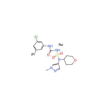 CC(C)c1cc(Cl)cc(NC(=O)NS(=O)(=O)N(c2cnn(C)c2)C2CCOCC2)c1.[Na]